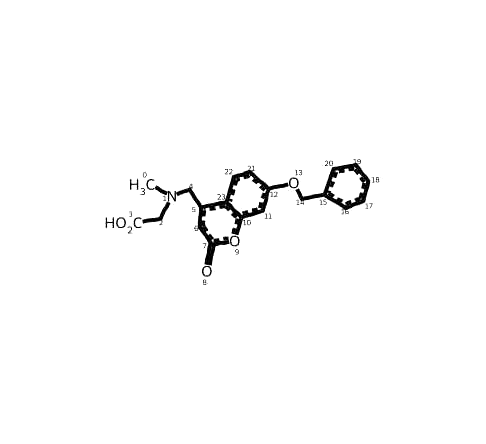 CN(CC(=O)O)Cc1cc(=O)oc2cc(OCc3ccccc3)ccc12